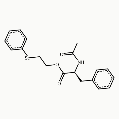 CC(=O)N[C@@H](Cc1ccccc1)C(=O)OCC[Se]c1ccccc1